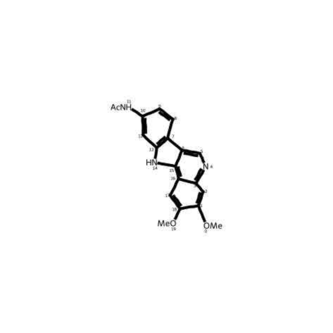 COc1cc2ncc3c4ccc(NC(C)=O)cc4[nH]c3c2cc1OC